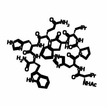 CC(=O)N[C@H](C(=O)N[C@@H](Cc1c[nH]cn1)C(=O)N1CCC[C@H]1C(=O)N[C@@H](CC(C)C)C(=O)N[C@@H](Cc1ccccc1)C(=O)N[C@@H](CCC(N)=O)C(=O)N[C@@H](Cc1c[nH]cn1)C(=O)N[C@@H](Cc1c[nH]c2ccccc12)C(N)=O)C(C)C